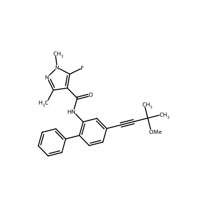 COC(C)(C)C#Cc1ccc(-c2ccccc2)c(NC(=O)c2c(C)nn(C)c2F)c1